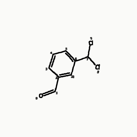 O=Cc1cccc(C(Cl)Cl)c1